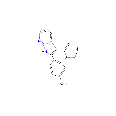 Cc1ccc(-c2cc3cccnc3[nH]2)c(-c2ccccc2)c1